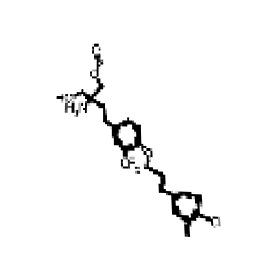 Cc1cc(CCCOc2ccc(CCC(N)(CO)COP=O)cc2C(F)(F)F)ccc1Cl